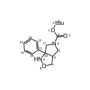 CC(C)(C)OC(=O)N1CC2CONC2(c2ccccc2)C1